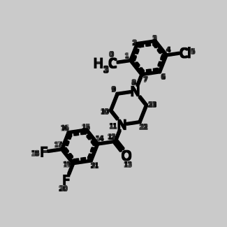 Cc1ccc(Cl)cc1N1CCN(C(=O)c2ccc(F)c(F)c2)CC1